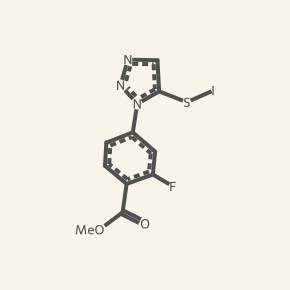 COC(=O)c1ccc(-n2nncc2SI)cc1F